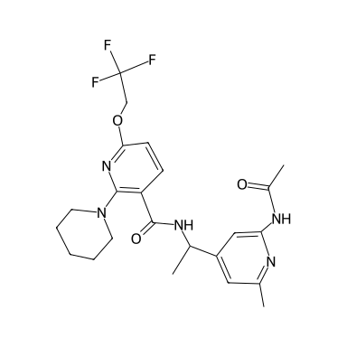 CC(=O)Nc1cc(C(C)NC(=O)c2ccc(OCC(F)(F)F)nc2N2CCCCC2)cc(C)n1